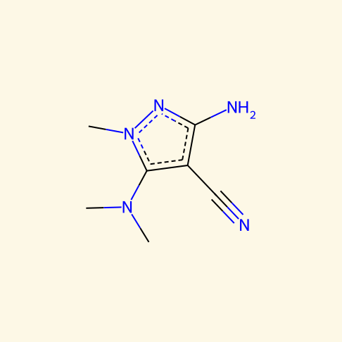 CN(C)c1c(C#N)c(N)nn1C